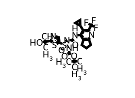 CC(C)(C)OC(=O)N[S@@](=O)(=NC(=O)Nc1c2c(nc(C(F)(F)F)c1C1CC1)CCC2)c1cnc(C(C)(C)O)s1